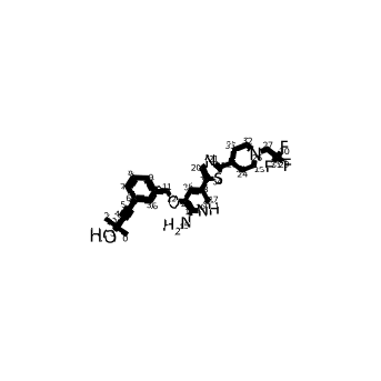 CC(C)(O)C#Cc1cccc(COC2=C(N)NCC(c3cnc(C4CCN(CC(F)(F)F)CC4)s3)=C2)c1